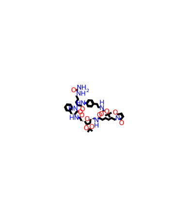 CC(C)(C)OC(=O)NCCc1ccc(NC(=O)C(CCCNC(N)=O)NC(=O)[C@@H](Cc2ccccc2)NC(=O)C[C@@H]2O[C@H](CNC(=O)CCCCCN3C(=O)C=CC3=O)C3OC(C)(C)OC32)cc1